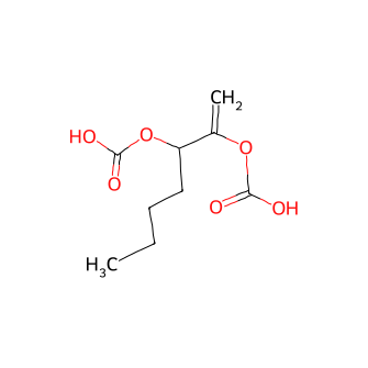 C=C(OC(=O)O)C(CCCC)OC(=O)O